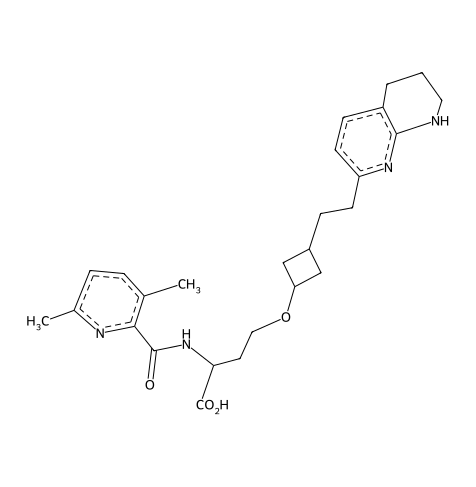 Cc1ccc(C)c(C(=O)NC(CCOC2CC(CCc3ccc4c(n3)NCCC4)C2)C(=O)O)n1